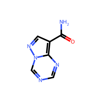 NC(=O)c1cnn2cncnc12